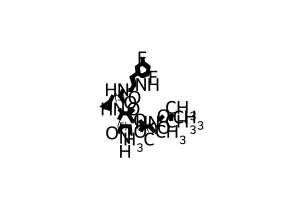 CC(C)[C@H](NC(=O)OC(C)(C)C)C(=O)OCC(=O)C(C[C@@H]1CCNC1=O)NC(=O)[C@H](CC1CC1)NC(=O)c1cc2cc(F)cc(F)c2[nH]1